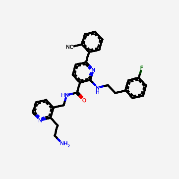 N#Cc1ccccc1-c1ccc(C(=O)NCc2cccnc2CCN)c(NCCc2cccc(F)c2)n1